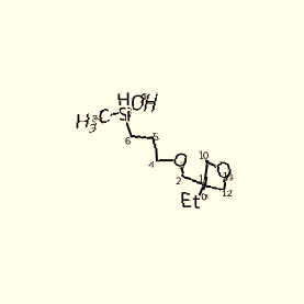 CCC1(COCCC[SiH](C)O)COC1